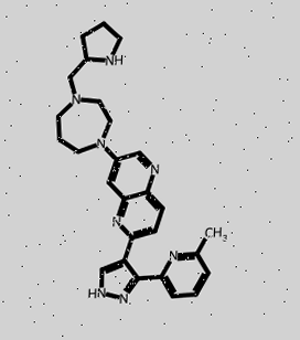 Cc1cccc(-c2n[nH]cc2-c2ccc3ncc(N4CCCN(CC5CCCN5)CC4)cc3n2)n1